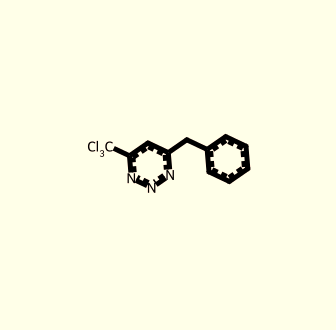 ClC(Cl)(Cl)c1cc(Cc2ccccc2)nnn1